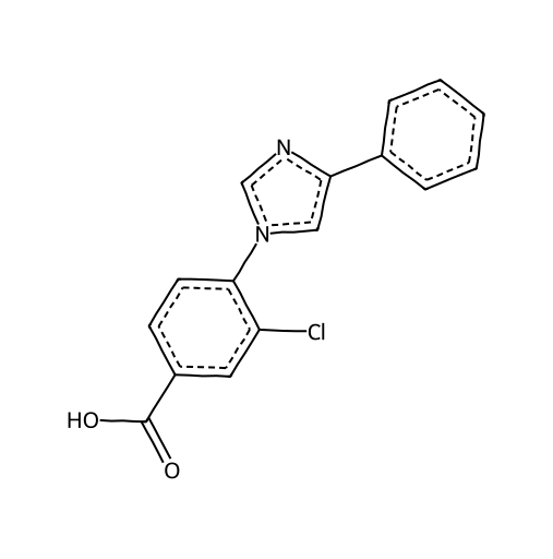 O=C(O)c1ccc(-n2cnc(-c3ccccc3)c2)c(Cl)c1